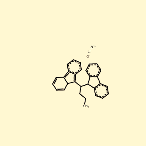 CCCC(C1=c2ccccc2=C2C=CC=CC21)C1c2ccccc2-c2ccccc21.[Cl-].[Cl-].[Zr+2]